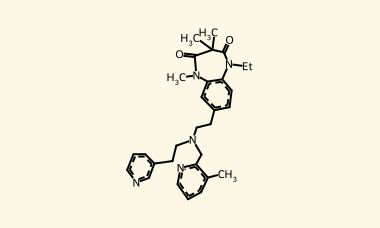 CCN1C(=O)C(C)(C)C(=O)N(C)c2cc(CCN(CCc3cccnc3)Cc3ncccc3C)ccc21